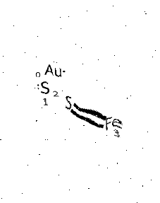 [Au].[S].[S]=[Fe]